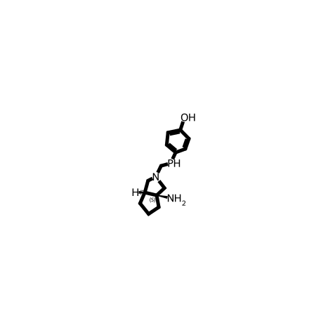 N[C@@]12CCC[C@@H]1CN(CPc1ccc(O)cc1)C2